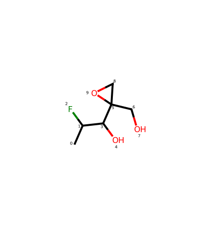 CC(F)C(O)C1(CO)CO1